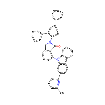 N#Cc1cccc(-c2ccc3c4ccccc4n(-c4cccc5c4C(=O)N(c4ccc(-c6ccccc6)cc4-c4ccccc4)C5)c3c2)n1